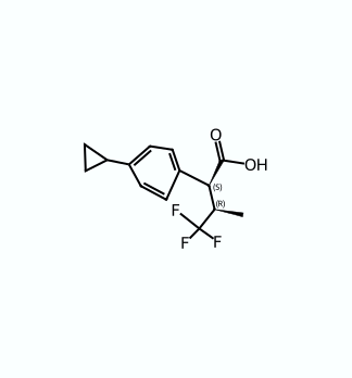 C[C@H]([C@H](C(=O)O)c1ccc(C2CC2)cc1)C(F)(F)F